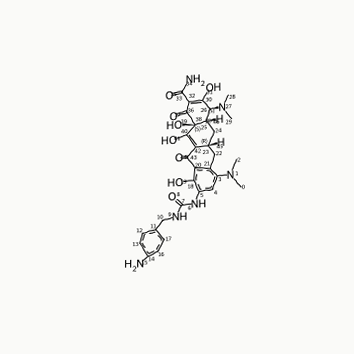 CN(C)c1cc(NC(=O)NCc2ccc(N)cc2)c(O)c2c1C[C@H]1C[C@H]3[C@H](N(C)C)C(O)=C(C(N)=O)C(=O)[C@@]3(O)C(O)=C1C2=O